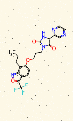 CCCc1c(OCCCN2C(=O)NC(c3cnccn3)C2=O)ccc2c(C(F)(F)F)onc12